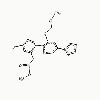 COCOc1cc(-n2cccn2)ccc1-c1ccc(Br)cc1CC(=O)OC